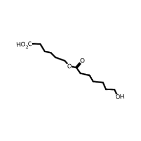 O=C(O)CCCCCOC(=O)CCCCCCO